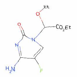 CCOC(=O)C(OCC)n1cc(F)c(N)nc1=O